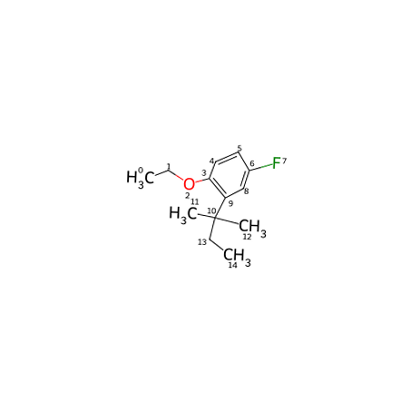 CCOc1ccc(F)cc1C(C)(C)CC